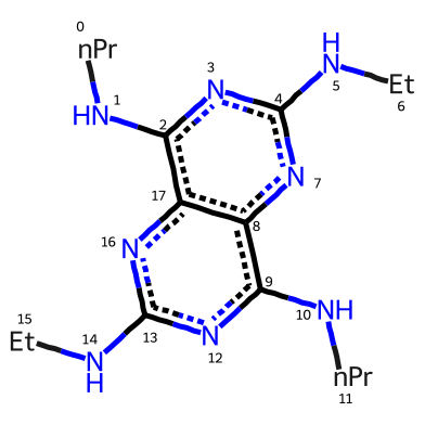 CCCNc1nc(NCC)nc2c(NCCC)nc(NCC)nc12